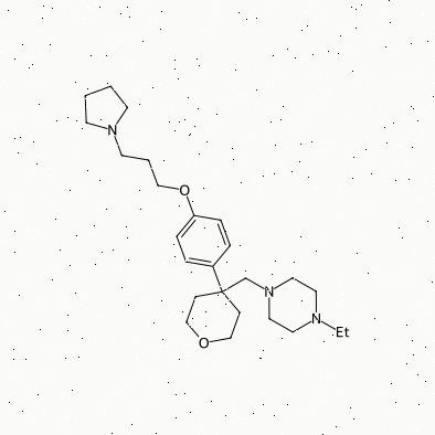 CCN1CCN(CC2(c3ccc(OCCCN4CCCC4)cc3)CCOCC2)CC1